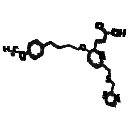 COc1ccc(CCCCOc2ccc(CSCc3nccs3)nc2C=CC(=O)O)cc1